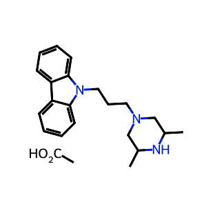 CC(=O)O.CC1CN(CCCn2c3ccccc3c3ccccc32)CC(C)N1